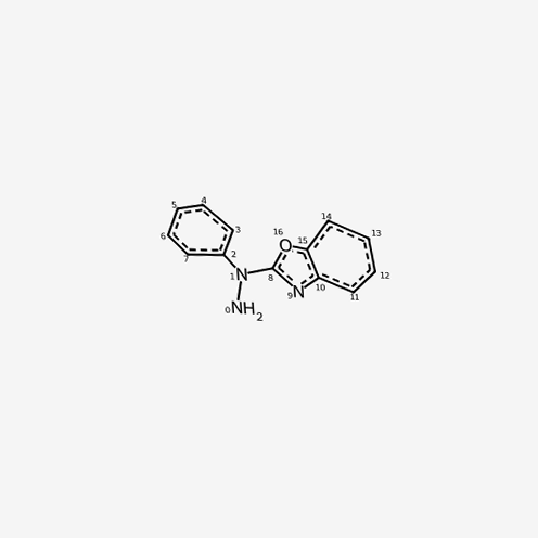 NN(c1ccccc1)c1nc2ccccc2o1